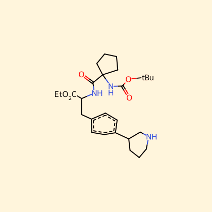 CCOC(=O)C(Cc1ccc(C2CCCNC2)cc1)NC(=O)C1(NC(=O)OC(C)(C)C)CCCC1